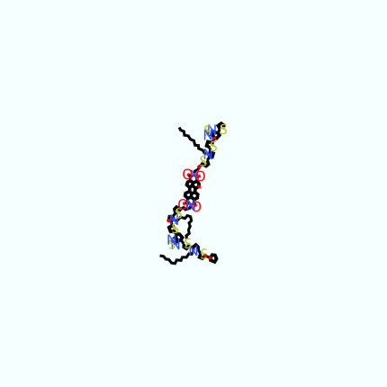 CCCCCCCCCCCCn1c(-c2ccc(CCCN3C(=O)c4ccc5c6ccc7c8c(ccc(c9ccc(c4c59)C3=O)c86)C(=O)N(CCCc3ccc(-c4ccc(-c5ccc(-c6ccc(-c8ccc(-c9ccc(-c%10ccc(-c%11ccccc%11)s%10)n9CCCCCCCCCCCC)s8)c8nsnc68)s5)n4CCCCCCCCCCCC)s3)C7=O)s2)ccc1-c1ccc(-c2ccc(-c3cccs3)c3nsnc23)s1